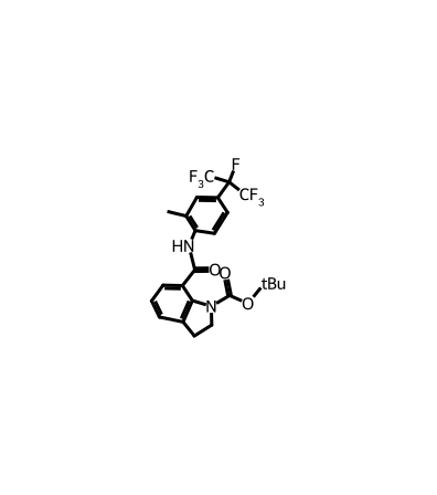 Cc1cc(C(F)(C(F)(F)F)C(F)(F)F)ccc1NC(=O)c1cccc2c1N(C(=O)OC(C)(C)C)CC2